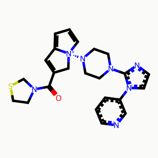 O=C(C1=CC2=CC=C[N@@+]2(N2CCN(c3nccn3-c3cccnc3)CC2)C1)N1CCSC1